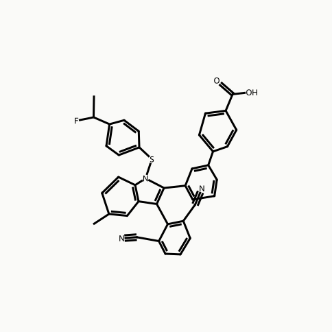 Cc1ccc2c(c1)c(-c1c(C#N)cccc1C#N)c(-c1cccc(-c3ccc(C(=O)O)cc3)c1)n2Sc1ccc(C(C)F)cc1